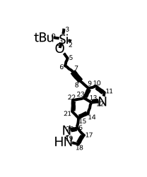 CC(C)(C)[Si](C)(C)OCCC#Cc1ccnc2cc(-c3cc[nH]n3)ccc12